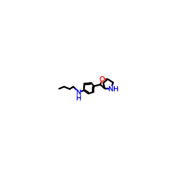 CCCCNc1ccc(C2OC3CNC2C3)cc1